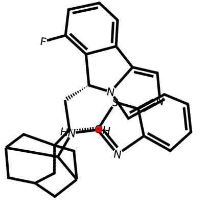 O[C@@H](C[C@@H]1c2c(F)cccc2-c2cncn21)C12CC3CC(C1)C(Nc1nc4ccccc4s1)C(C3)C2